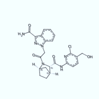 NC(=O)c1nn(CC(=O)N2[C@@H]3CC[C@@H](C3)[C@H]2C(=O)Nc2ccc(CO)c(Cl)n2)c2ccccc12